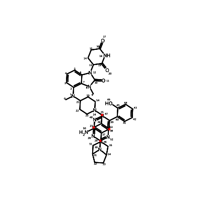 CN(c1cccc2c1n(C)c(=O)n2C1CCC(=O)NC1=O)C1CCN(Cc2cnc(N3C4CCC3CN(c3cc(-c5ccccc5O)nnc3N)C4)nc2)CC1